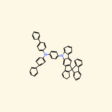 C1=CC2=C(CC1)C1(c3cc4c5ccccc5n(-c5ccc(N(c6ccc(-c7ccccc7)cc6)c6ccc(-c7ccccc7)cc6)cc5)c4cc32)c2ccccc2-c2ccccc21